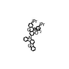 BC12c3cc(C(C)C)ccc3Oc3cc(-n4c5ccccc5c5c6oc7ccccc7c6ccc54)cc(c31)Oc1ccc(C(C)C)cc12